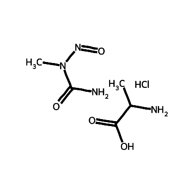 CC(N)C(=O)O.CN(N=O)C(N)=O.Cl